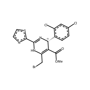 COC(=O)C1=C(CBr)NC(c2nccs2)=N[C@@H]1c1ccc(Cl)cc1Cl